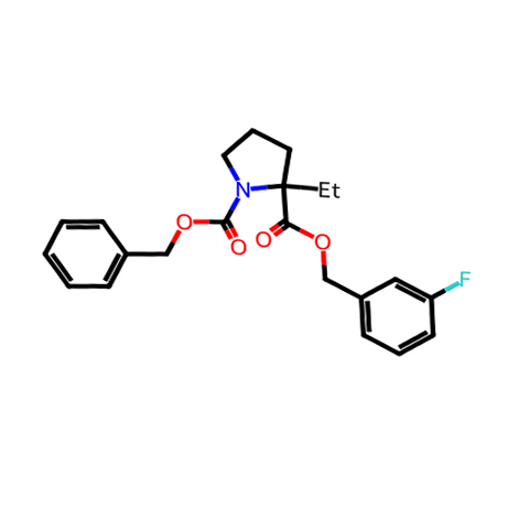 CCC1(C(=O)OCc2cccc(F)c2)CCCN1C(=O)OCc1ccccc1